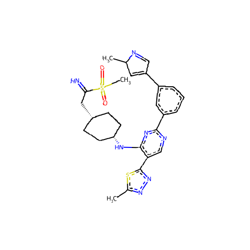 Cc1nnc(-c2cnc(-c3cccc(C4=CC(C)N=C4)c3)nc2N[C@H]2CC[C@@H](CC(=N)S(C)(=O)=O)CC2)s1